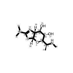 CN[C@@H](C)[C@H]1O[C@@H]2SC(N(C)C)=N[C@@H]2[C@@H](O)[C@@H]1O